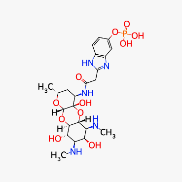 CN[C@@H]1[C@H](O)[C@H](NC)[C@H]2O[C@]3(O)[C@H](O[C@@H]2[C@H]1O)O[C@H](C)C[C@H]3NC(=O)Cc1nc2cc(OP(=O)(O)O)ccc2[nH]1